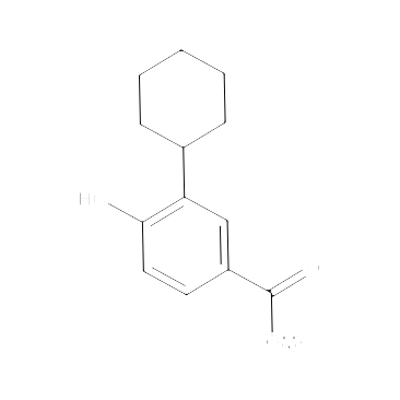 COC(=O)c1ccc(O)c(C2CCCCC2)c1